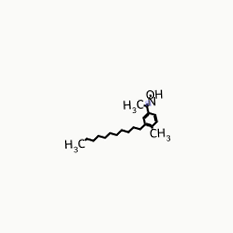 CCCCCCCCCCCc1cc(/C(C)=N/O)ccc1C